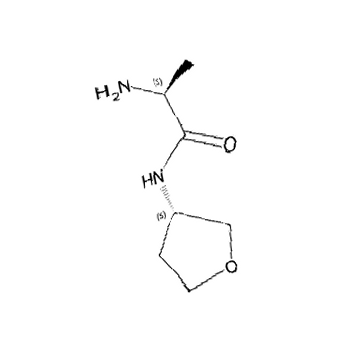 C[C@H](N)C(=O)N[C@H]1CCOC1